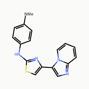 CNc1ccc(Nc2nc(-c3cnc4ccccn34)cs2)cc1